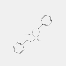 CCCCCC(O)P(=O)(OCc1ccccc1)OCc1ccccc1